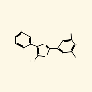 Nc1sc(-c2cc(Cl)cc(Cl)c2)nc1-c1ccccc1